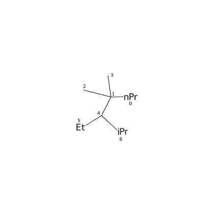 CCCC(C)(C)C(CC)C(C)C